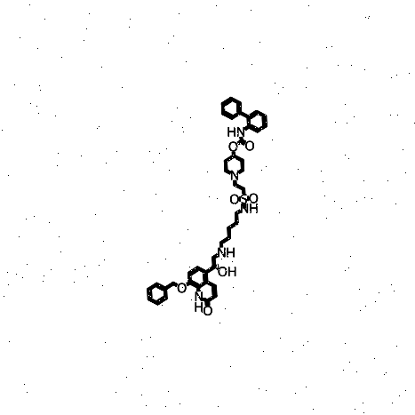 O=C(Nc1ccccc1-c1ccccc1)OC1CCN(CCS(=O)(=O)NCCCCCNC[C@H](O)c2ccc(OCc3ccccc3)c3[nH]c(=O)ccc23)CC1